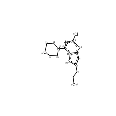 OCCc1cc2nc(Cl)nc(N3CCOCC3)c2s1